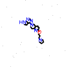 c1nc(N2CCc3nc(OCCCN4CCCC4)ccc3C2)c2cc[nH]c2n1